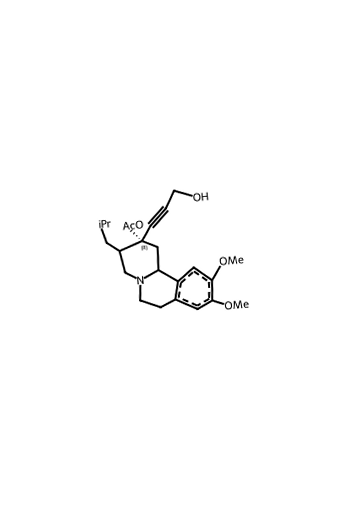 COc1cc2c(cc1OC)C1C[C@@](C#CCO)(OC(C)=O)C(CC(C)C)CN1CC2